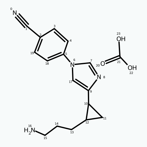 N#Cc1ccc(-n2cnc(C3CC3CCCN)c2)cc1.O=C(O)O